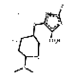 Cc1nc(OC2CCC(N(C)C)CC2)c(C(=O)O)s1